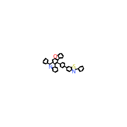 c1ccc(-c2nc3ccc(-c4ccc(-c5c6c(cc7c(-c8ccccc8)nc8ccccc8c57)oc5ccccc56)cc4)cc3s2)cc1